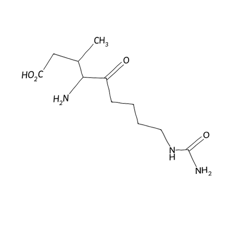 CC(CC(=O)O)C(N)C(=O)CCCCNC(N)=O